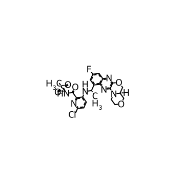 C[C@@H](Nc1ccc(Cl)nc1C(=O)NS(C)(=O)=O)c1cc(F)cc2nc3c(nc12)N1CCOC[C@H]1CO3